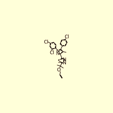 C=CCOC(C)(C)c1nnc(-c2nn(-c3ccc(Cl)cc3Cl)c(-c3ccc(Cl)cc3)c2C)s1